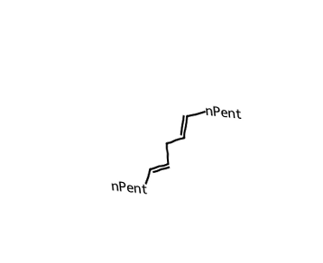 CCCCC/C=C/C/C=C/CCCCC